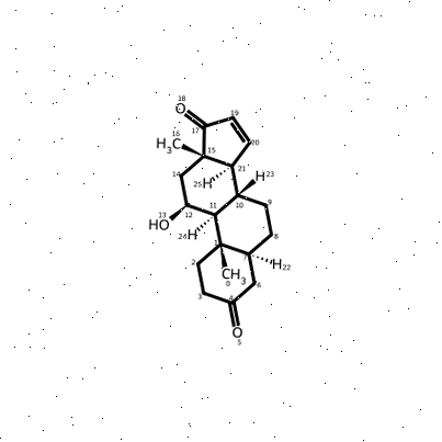 C[C@]12CCC(=O)C[C@@H]1CC[C@@H]1[C@@H]2[C@@H](O)C[C@]2(C)C(=O)C=C[C@@H]12